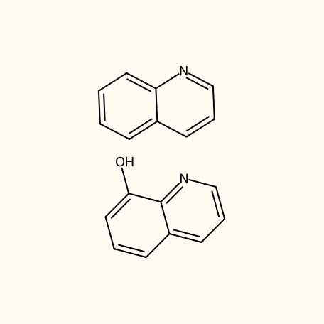 Oc1cccc2cccnc12.c1ccc2ncccc2c1